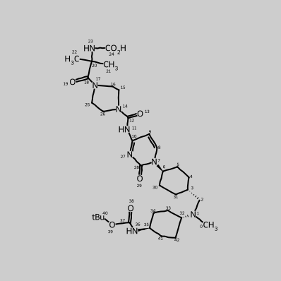 CN(C[C@H]1CC[C@H](n2ccc(NC(=O)N3CCN(C(=O)C(C)(C)NC(=O)O)CC3)nc2=O)CC1)[C@H]1CC[C@H](NC(=O)OC(C)(C)C)CC1